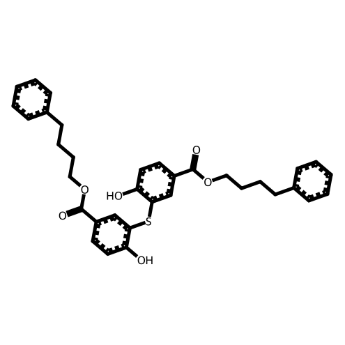 O=C(OCCCCc1ccccc1)c1ccc(O)c(Sc2cc(C(=O)OCCCCc3ccccc3)ccc2O)c1